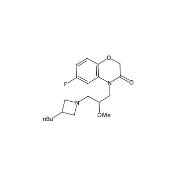 CCCCC1CN(CC(CN2C(=O)COc3ccc(F)cc32)OC)C1